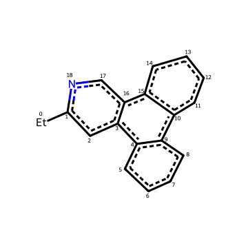 CCc1cc2c3ccccc3c3ccccc3c2cn1